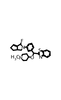 CN1CCC(OC(c2cccc(N3CC4CCC=C4C3F)c2)c2nc3ccccc3s2)CC1